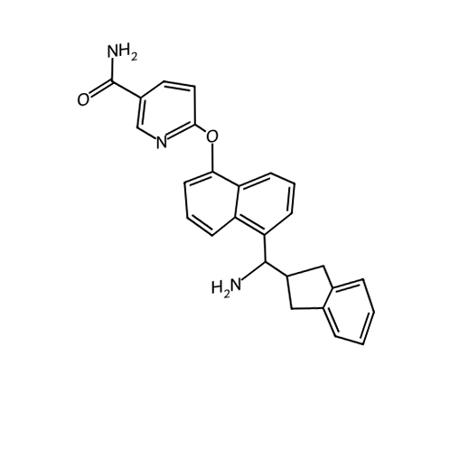 NC(=O)c1ccc(Oc2cccc3c(C(N)C4Cc5ccccc5C4)cccc23)nc1